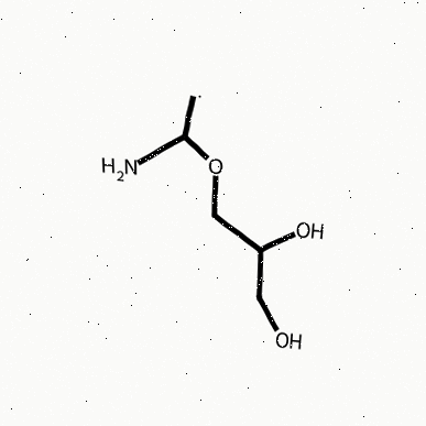 [CH2]C(N)OCC(O)CO